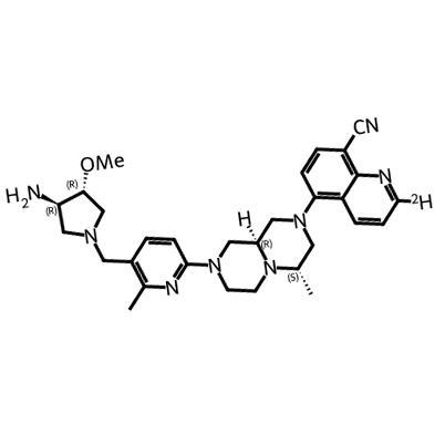 [2H]c1ccc2c(N3C[C@@H]4CN(c5ccc(CN6C[C@@H](N)[C@H](OC)C6)c(C)n5)CCN4[C@@H](C)C3)ccc(C#N)c2n1